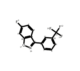 Fc1ccc2c(-c3cccc(C(F)(F)F)c3)noc2c1